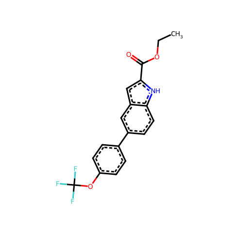 CCOC(=O)c1cc2cc(-c3ccc(OC(F)(F)F)cc3)ccc2[nH]1